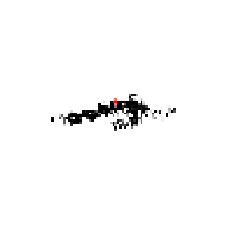 CCCc1ccc(-c2ccc(-c3cnc(-c4ccc(C[C@H](NC(=O)c5ccc(C(C)(C)C)s5)C(=O)N[C@H](C)C(=O)O)cc4)nc3)cc2)cc1